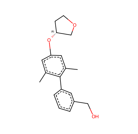 Cc1cc(O[C@@H]2CCOC2)cc(C)c1-c1cccc(CO)c1